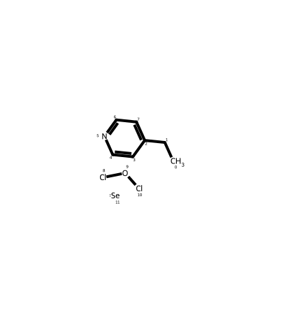 CCc1ccncc1.ClOCl.[Se]